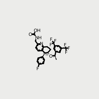 C[C@@H](O[C@H]1CCc2nc(CNC(=O)O)ccc2[C@@H]1c1ccc(F)cc1)c1cc(C(F)(F)F)cc(C(F)(F)F)c1